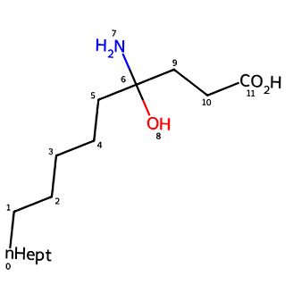 CCCCCCCCCCCCC(N)(O)CCC(=O)O